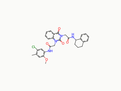 COc1cc(C)c(Cl)cc1NC(=O)Cn1c(=O)n(CC(=O)NC2CCCc3ccccc32)c(=O)c2ccccc21